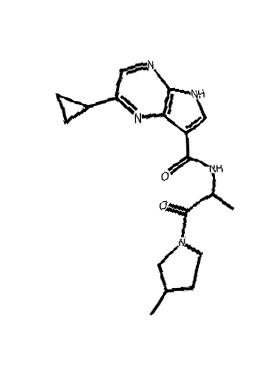 CC1CCN(C(=O)C(C)NC(=O)c2c[nH]c3ncc(C4CC4)nc23)C1